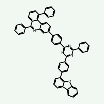 c1ccc(-c2nc(-c3ccc(-c4ccc5c(c4)nc(-c4ccccc4)c4cccc(-c6ccccc6)c45)cc3)nc(-c3ccc(-c4cccc5c4oc4ccccc45)cc3)n2)cc1